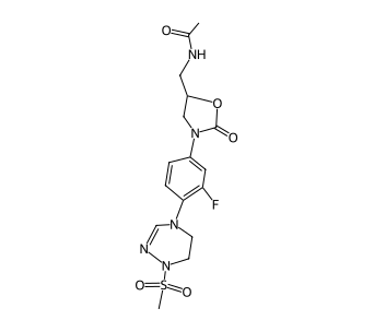 CC(=O)NCC1CN(c2ccc(N3C=NN(S(C)(=O)=O)CC3)c(F)c2)C(=O)O1